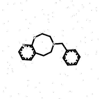 c1ccc(CN2CCOc3ncccc3CC2)cc1